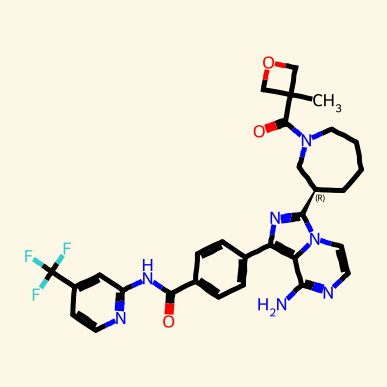 CC1(C(=O)N2CCCC[C@@H](c3nc(-c4ccc(C(=O)Nc5cc(C(F)(F)F)ccn5)cc4)c4c(N)nccn34)C2)COC1